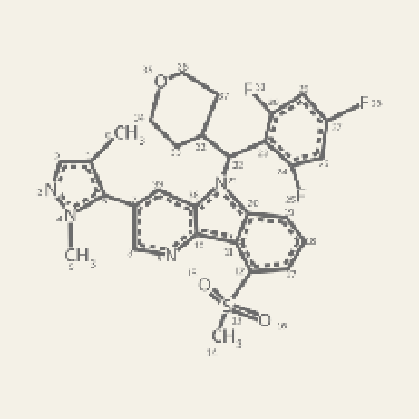 Cc1cnn(C)c1-c1cnc2c3c(S(C)(=O)=O)cccc3n(C(c3c(F)cc(F)cc3F)C3CCOCC3)c2c1